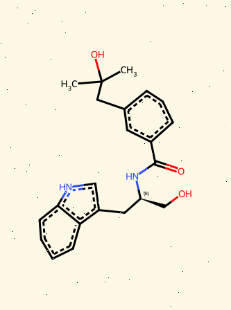 CC(C)(O)Cc1cccc(C(=O)N[C@@H](CO)Cc2c[nH]c3ccccc23)c1